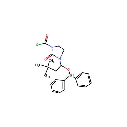 CC(C)(C)CC(O[SiH](c1ccccc1)c1ccccc1)N1CCN(C(=O)Cl)C1=O